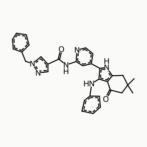 CC1(C)CC(=O)c2c([nH]c(-c3ccnc(NC(=O)c4cnn(Cc5ccccc5)c4)c3)c2Nc2ccccc2)C1